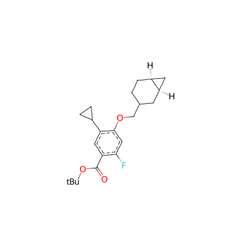 CC(C)(C)OC(=O)c1cc(C2CC2)c(OCC2CC[C@H]3C[C@H]3C2)cc1F